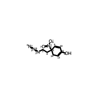 [N-]=[N+]=NCCC1([N+](=O)[O-])C=CC(O)=CC1